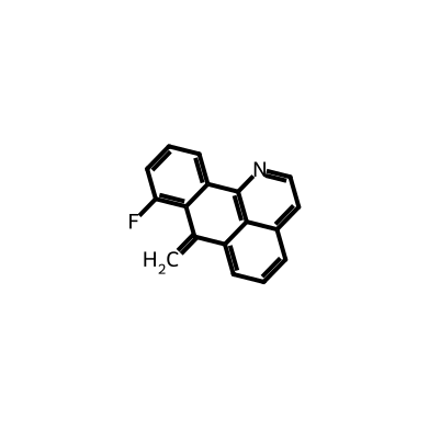 C=c1c2cccc3ccnc(c4cccc(F)c14)c32